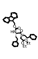 CCOC(CN(CCc1ccccc1)C(=O)[C@H](CCc1ccccc1)NC(=O)OCC1c2ccccc2-c2ccccc21)OCC